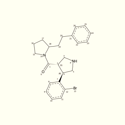 O=C([C@@H]1CNC[C@H]1c1ccccc1Br)N1CCCC1CCc1ccccc1